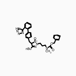 CCCCC1=NN(CCCN(C)C(=O)OCc2ccccc2)[N+](=O)C1Cc1ccc(-c2ccccc2-c2nnn[nH]2)cc1